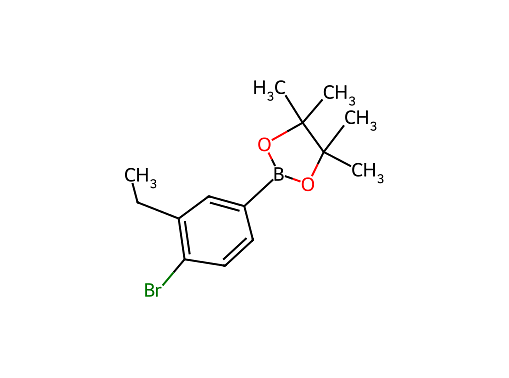 CCc1cc(B2OC(C)(C)C(C)(C)O2)ccc1Br